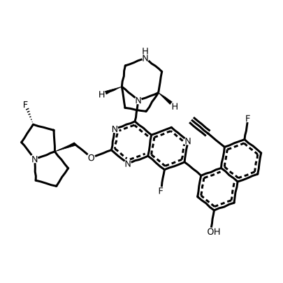 C#Cc1c(F)ccc2cc(O)cc(-c3ncc4c(N5[C@@H]6CC[C@H]5CNC6)nc(OC[C@@]56CCCN5C[C@H](F)C6)nc4c3F)c12